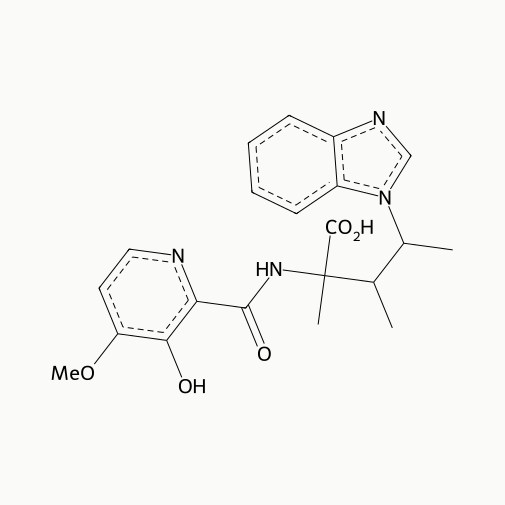 COc1ccnc(C(=O)NC(C)(C(=O)O)C(C)C(C)n2cnc3ccccc32)c1O